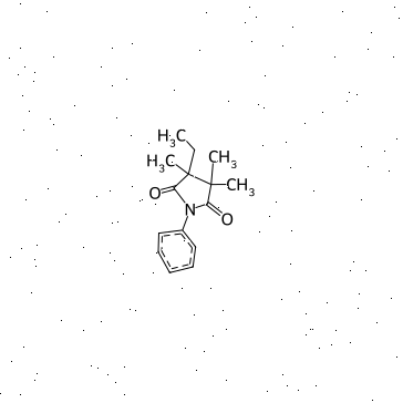 CCC1(C)C(=O)N(c2ccccc2)C(=O)C1(C)C